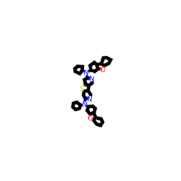 c1ccc(N(c2ccc3c(c2)oc2ccccc23)c2cc3sc4cc(N(c5ccccc5)c5ccc6c(c5)oc5ccccc56)ncc4c3cn2)cc1